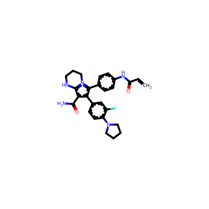 C=CC(=O)Nc1ccc(-c2c(-c3ccc(N4CCCC4)c(F)c3)c(C(N)=O)c3n2CCCN3)cc1